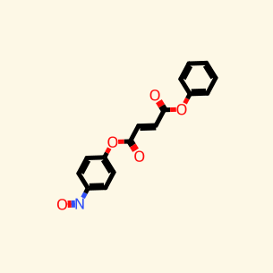 O=Nc1ccc(OC(=O)/C=C/C(=O)Oc2ccccc2)cc1